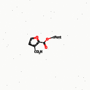 CCCCCOC(=O)c1occc1C(=O)O